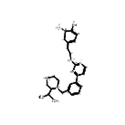 CC(C)C1CNCCN1Cc1cccc(-c2ccnc(NCCC3=CC=C(O)[C@H](C)C3)n2)c1